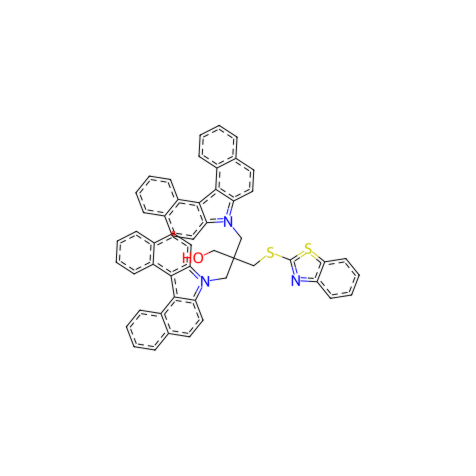 OCC(CSc1nc2ccccc2s1)(Cn1c2ccc3ccccc3c2c2c3ccccc3ccc21)Cn1c2ccc3ccccc3c2c2c3ccccc3ccc21